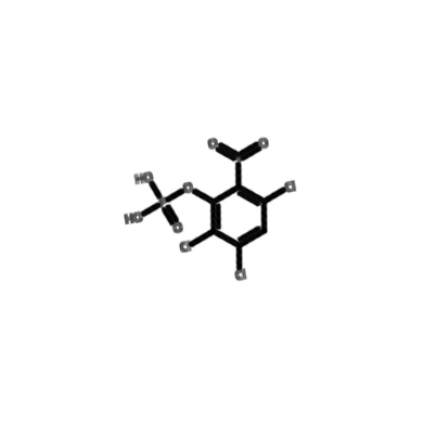 O=I(=O)c1c(Cl)cc(Cl)c(Cl)c1OP(=O)(O)O